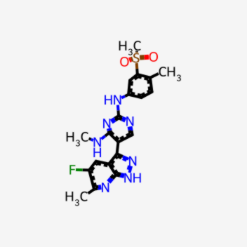 CNc1nc(Nc2ccc(C)c(S(C)(=O)=O)c2)ncc1-c1n[nH]c2nc(C)c(F)cc12